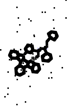 C=N/C(=N\C(=N/Cc1ccccc1)c1ccccc1)c1cccc(-n2c3ccccc3c3c4ccccc4c4c5ccccc5sc4c32)c1